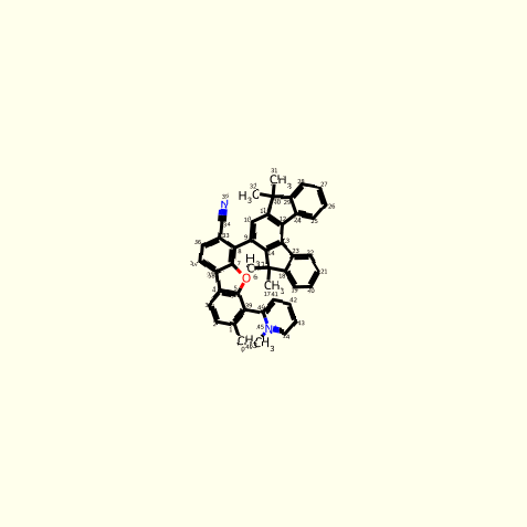 Cc1ccc2c(oc3c(-c4cc5c(c6c4C(C)(C)c4ccccc4-6)-c4ccccc4C5(C)C)c(C#N)ccc32)c1-c1cccc[n+]1C